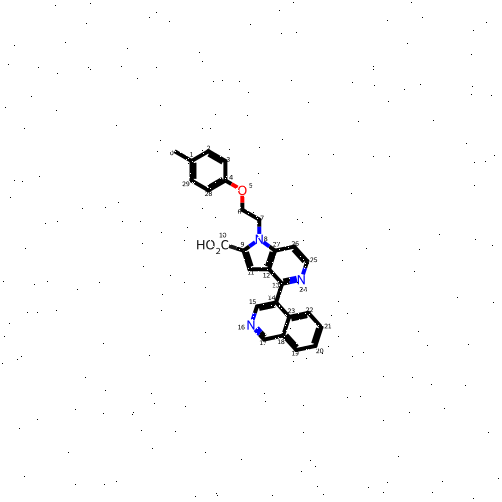 Cc1ccc(OCCn2c(C(=O)O)cc3c(-c4cncc5ccccc45)nccc32)cc1